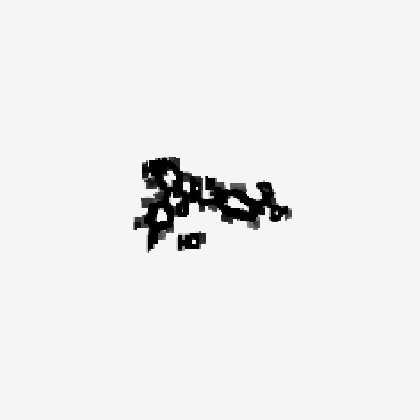 COC(=O)c1ccc(CNC(=O)N2CCNCC2c2ccc(F)cc2)c(F)c1.Cl